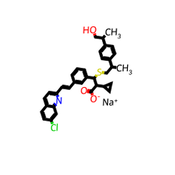 CC(CO)c1ccc(C(C)CSC(c2cccc(C=Cc3ccc4ccc(Cl)cc4n3)c2)C(C(=O)[O-])C2CC2)cc1.[Na+]